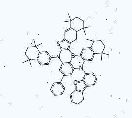 CC1(C)CCC(C)(C)C2Cc3c(sc4c3B3c5cc6c(cc5N(c5cccc7c8c(oc57)C=CCC8)c5cc(-c7ccccc7)cc(c53)N4c3ccc4c(c3)C(C)(C)CCC4(C)C)C(C)(C)CCC6(C)C)C=C21